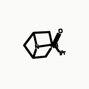 CC(C)C(=O)N1C2CNCC1C2